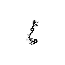 CN(CCCc1ccc(CNC(=O)OC(C)(C)C)cc1)CCNS(=O)(=O)c1occ2ccccc12